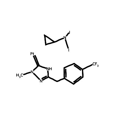 Cn1nc(Cc2ccc(C(F)(F)F)cc2)[nH][c]1=[Pt].IN(I)C1CC1